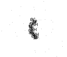 CC(=O)c1cc(NC(=O)c2cc(NC(=O)c3cc(NC(=O)c4cccn4C)cn3C)cn2C)cn1C